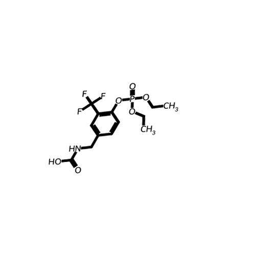 CCOP(=O)(OCC)Oc1ccc(CNC(=O)O)cc1C(F)(F)F